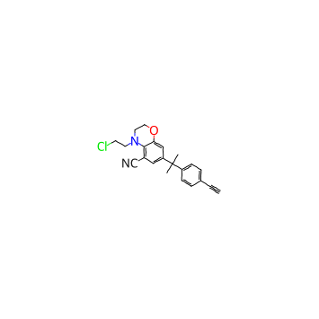 C#Cc1ccc(C(C)(C)c2cc(C#N)c3c(c2)OCCN3CCCl)cc1